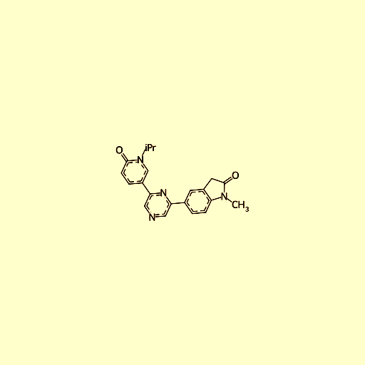 CC(C)n1cc(-c2cncc(-c3ccc4c(c3)CC(=O)N4C)n2)ccc1=O